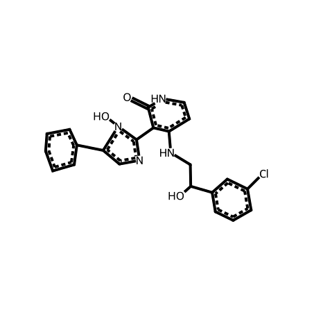 O=c1[nH]ccc(NCC(O)c2cccc(Cl)c2)c1-c1ncc(-c2ccccc2)n1O